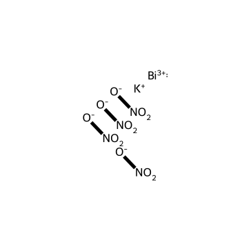 O=[N+]([O-])[O-].O=[N+]([O-])[O-].O=[N+]([O-])[O-].O=[N+]([O-])[O-].[Bi+3].[K+]